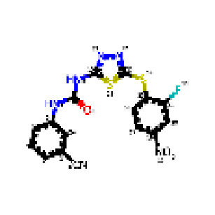 N#Cc1cccc(NC(=O)Nc2nnc(Sc3ccc([N+](=O)[O-])cc3F)s2)c1